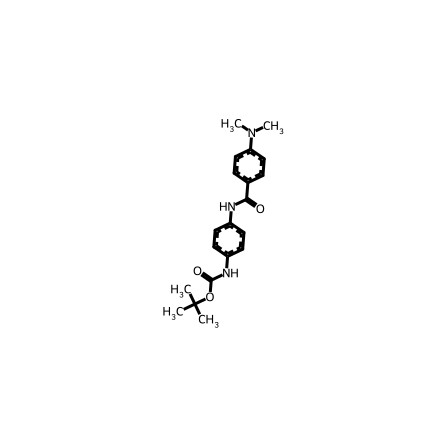 CN(C)c1ccc(C(=O)Nc2ccc(NC(=O)OC(C)(C)C)cc2)cc1